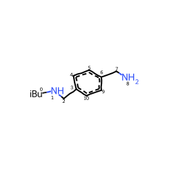 CCC(C)NCc1ccc(CN)cc1